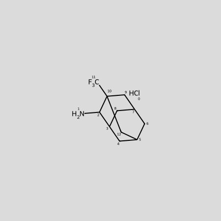 Cl.NC1C2CC3CC(C2)CC1(C(F)(F)F)C3